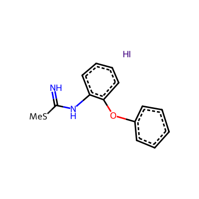 CSC(=N)Nc1ccccc1Oc1ccccc1.I